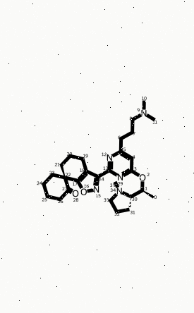 C[C@H](Oc1cc(CCCN(C)C)nc(-c2noc3c2CCC[C@@]32CCCCC2=O)n1)[C@@H]1CCCN1C